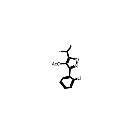 CC(=O)Oc1c(-c2ccccc2Cl)noc1C(F)F